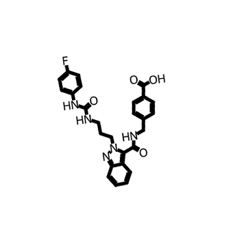 O=C(NCCCn1nc2ccccc2c1C(=O)NCc1ccc(C(=O)O)cc1)Nc1ccc(F)cc1